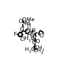 COC(=O)NCCO[C@@H](c1cc(F)cc(Cl)c1)C1CC[C@H](C(=O)NC(C[C@H]2CCCOC2)CN(C)C(=O)OCC[Si](C)(C)C)NC1